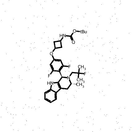 C[C@@H]1Cc2c([nH]c3ccccc23)[C@@H](c2c(F)cc(OC3CC(NC(=O)OC(C)(C)C)C3)cc2F)N1CC(C)(C)F